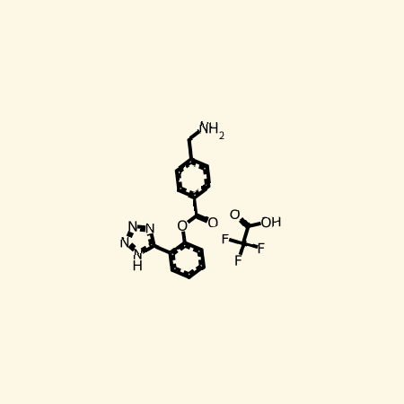 NCc1ccc(C(=O)Oc2ccccc2-c2nnn[nH]2)cc1.O=C(O)C(F)(F)F